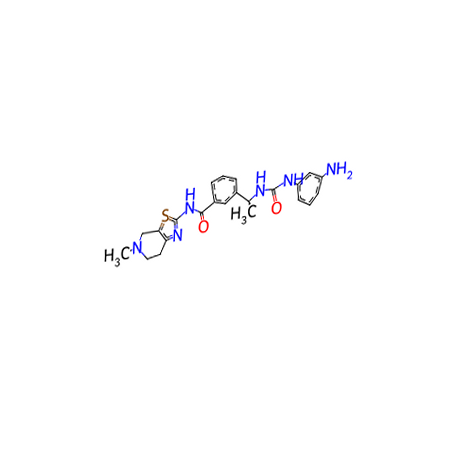 C[C@H](NC(=O)Nc1cccc(N)c1)c1cccc(C(=O)Nc2nc3c(s2)CN(C)CC3)c1